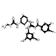 CCOC(=O)N[C@@H]1CCC[C@@H](N/C(=N\C(=O)c2ccc(F)c(F)c2)Nc2cc(F)cc(Cl)c2)C1